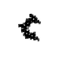 Cc1cc(Nc2ccc(N/C=C(\N=N)c3ccc(Nc4cc(C)ncc4Cl)cc3)cc2)ccn1